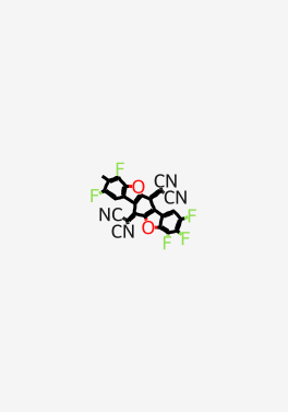 Cc1c(F)cc2c(oc3c(=C(C#N)C#N)c4c(oc5c(F)c(F)c(F)cc54)c(=C(C#N)C#N)c32)c1F